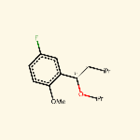 COc1ccc(F)cc1[C@H](CC(C)C)OC(C)C